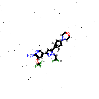 Nc1ncc(-c2cc(C3[C@H]4CC(N5CCOCC5)C[C@@H]34)n(CC(F)F)n2)cc1OC(F)(F)F